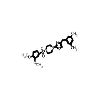 COc1ccc(S(=O)(=O)N2CCN(c3nc(Cc4cc(C)cc(C)c4)cs3)CC2)cc1OC